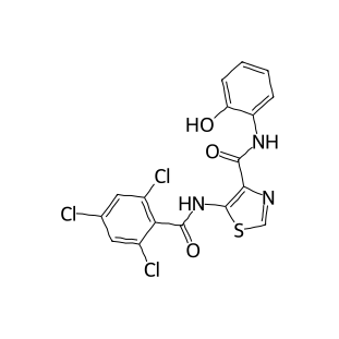 O=C(Nc1ccccc1O)c1ncsc1NC(=O)c1c(Cl)cc(Cl)cc1Cl